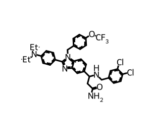 [CH2][CH]N([CH][CH2])c1ccc(-c2nc3cc(C(CC(N)=O)NCc4ccc(Cl)c(Cl)c4)ccc3n2Cc2ccc(OC(F)(F)F)cc2)cc1